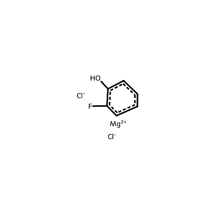 Oc1ccccc1F.[Cl-].[Cl-].[Mg+2]